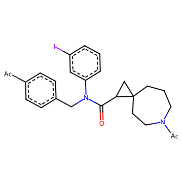 CC(=O)c1ccc(CN(C(=O)C2CC23CCCN(C(C)=O)CC3)c2cccc(I)c2)cc1